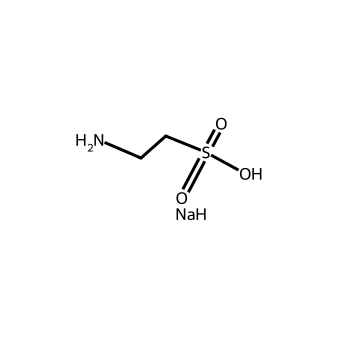 NCCS(=O)(=O)O.[NaH]